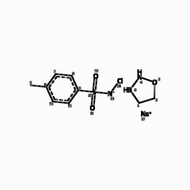 B1CCON1.Cc1ccc(S(=O)(=O)[N-]Cl)cc1.[Na+]